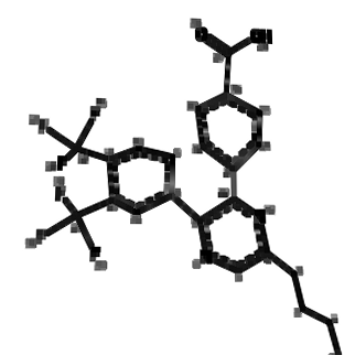 CCCCc1cnc(-c2ccc(C(F)(F)F)c(C(F)(F)F)c2)c(-c2ccc(C(=O)O)cc2)n1